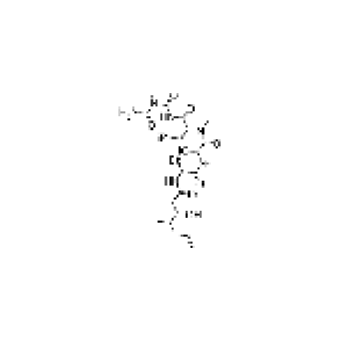 C/C=C/C[C@@H](C)[C@@H](O)CC(=O)N[C@@H](CC)C(=O)N(C)[C@H](O)C(=O)N(C)[C@@H](CC(C)C)C(=O)NC(=O)N(C)C(N)=O